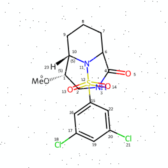 CO[C@H]1CNC(=O)C2CCC[C@@H]1N2S(=O)(=O)c1cc(Cl)cc(Cl)c1